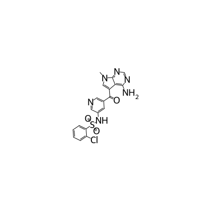 Cn1cc(C(=O)c2cncc(NS(=O)(=O)c3ccccc3Cl)c2)c2c(N)ncnc21